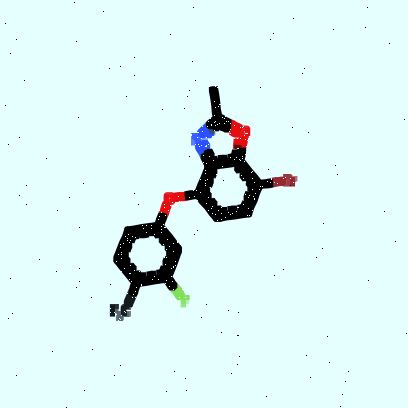 Cc1nc2c(Oc3ccc(C(F)(F)F)c(F)c3)ccc(Br)c2o1